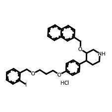 Cl.Ic1ccccc1COCCCOc1ccc(C2CCNCC2OCc2ccc3ccccc3c2)cc1